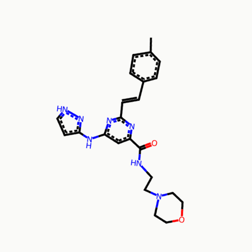 Cc1ccc(/C=C/c2nc(Nc3cc[nH]n3)cc(C(=O)NCCN3CCOCC3)n2)cc1